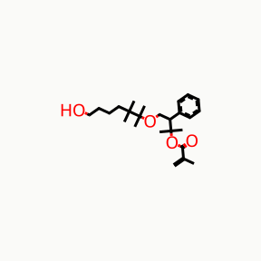 C=C(C)C(=O)OC(C)(C)C(COC(C)(C)C(C)(C)CCCCO)c1ccccc1